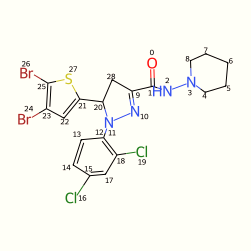 O=C(NN1CCCCC1)C1=NN(c2ccc(Cl)cc2Cl)C(c2cc(Br)c(Br)s2)C1